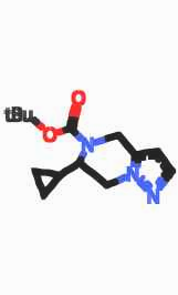 CC(C)(C)OC(=O)N1Cc2ccnn2CC1C1CC1